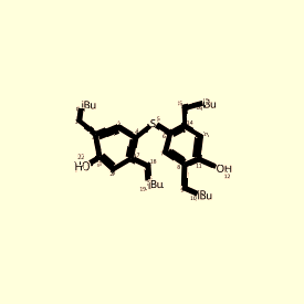 CCC(C)Cc1cc(Sc2cc(CC(C)CC)c(O)cc2CC(C)CC)c(CC(C)CC)cc1O